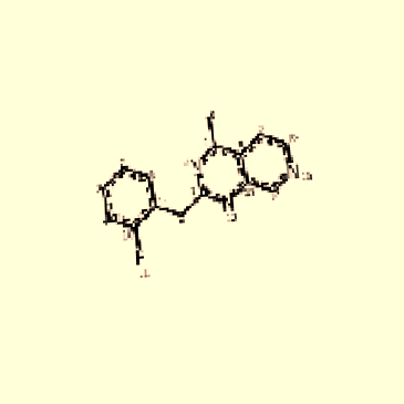 Cc1nc(Cc2ccccc2F)nc2cnccc12